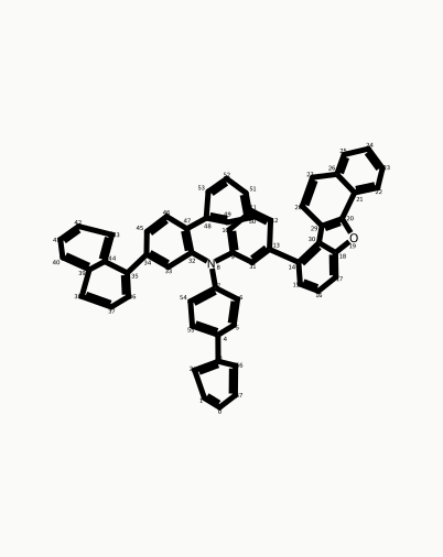 c1ccc(-c2ccc(N(c3cccc(-c4cccc5oc6c7ccccc7ccc6c45)c3)c3cc(-c4cccc5ccccc45)ccc3-c3ccccc3)cc2)cc1